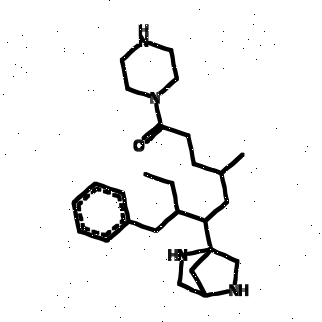 CCC(Cc1ccccc1)C(CC(C)CCC(=O)N1CCNCC1)C12CNC(CN1)C2